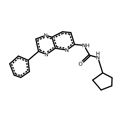 O=C(Nc1ccc2ncc(-c3ccccc3)nc2n1)NC1CCCC1